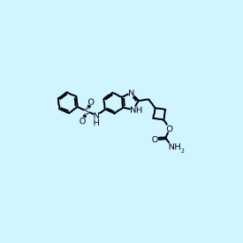 NC(=O)OC1CC(Cc2nc3ccc(NS(=O)(=O)c4ccccc4)cc3[nH]2)C1